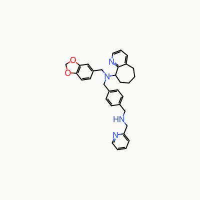 c1ccc(CNCc2ccc(CN(Cc3ccc4c(c3)OCO4)C3CCCCc4cccnc43)cc2)nc1